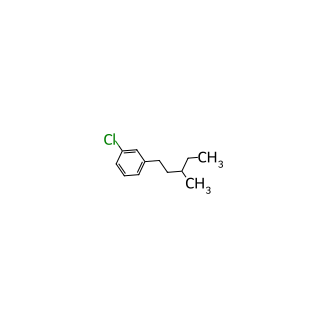 CCC(C)CCc1cccc(Cl)c1